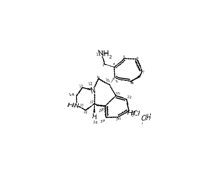 Cl.Cl.NCc1ccccc1[C@H]1CN2CCNC[C@H]2c2ccccc21